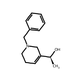 C[C@H](O)C1=CCCN(Cc2ccccc2)C1